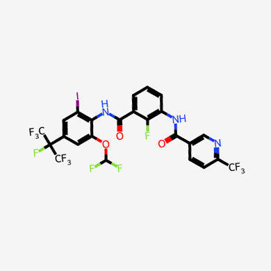 O=C(Nc1cccc(C(=O)Nc2c(I)cc(C(F)(C(F)(F)F)C(F)(F)F)cc2OC(F)F)c1F)c1ccc(C(F)(F)F)nc1